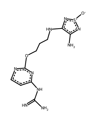 N=C(N)Nc1ccnc(OCCCNc2n[s+]([O-])nc2N)n1